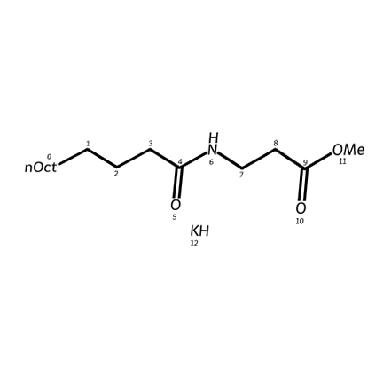 CCCCCCCCCCCC(=O)NCCC(=O)OC.[KH]